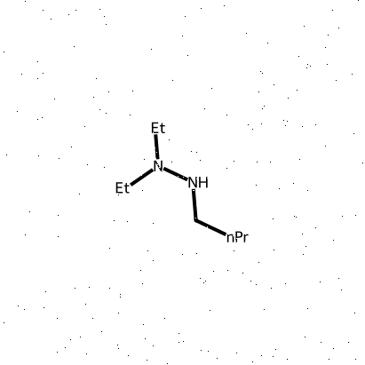 CCCCNN(CC)CC